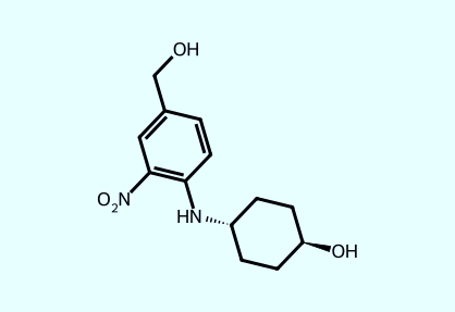 O=[N+]([O-])c1cc(CO)ccc1N[C@H]1CC[C@H](O)CC1